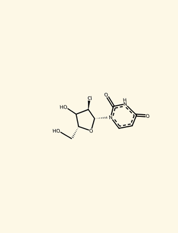 O=c1ccn([C@@H]2O[C@H](CO)C(O)[C@H]2Cl)c(=O)[nH]1